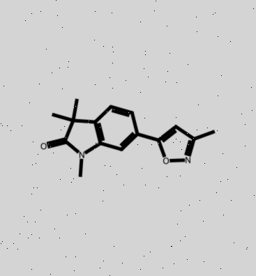 Cc1cc(-c2ccc3c(c2)N(C)C(=O)C3(C)C)on1